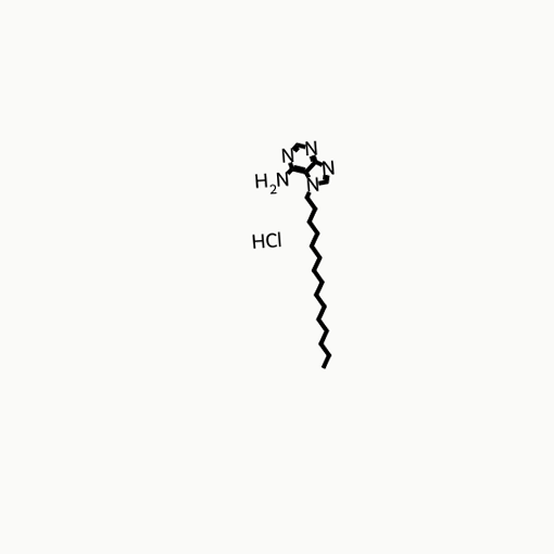 CCCCCCCCCCCCCCCn1cnc2ncnc(N)c21.Cl